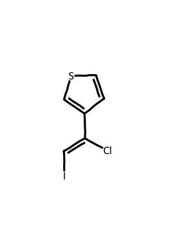 ClC(=CI)c1ccsc1